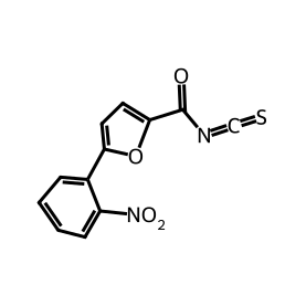 O=C(N=C=S)c1ccc(-c2ccccc2[N+](=O)[O-])o1